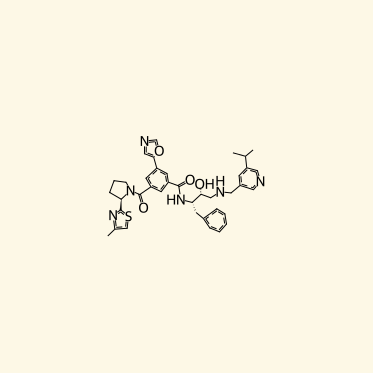 Cc1csc([C@H]2CCCN2C(=O)c2cc(C(=O)N[C@@H](Cc3ccccc3)[C@H](O)CNCc3cncc(C(C)C)c3)cc(-c3cnco3)c2)n1